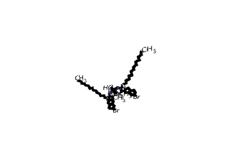 CCCCCCCCCCCCCCCCN1/C(=C/C2=C(O)C(=C/C3N(CCCCCCCCCCCCCCCC)c4cc5ccc(Br)cc5cc4C3(C)C)/C2=O)C(C)(C)c2cc3cc(Br)ccc3cc21